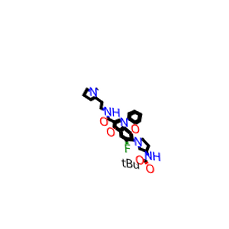 CN1CCCC1CCNC(=O)c1cn2c3c(c(N4CCC(NC(=O)OC(C)(C)C)C4)c(F)cc3c1=O)Oc1ccccc1-2